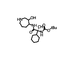 CC(C)(C)OC(=O)N[C@](C)(C(=O)NC1CCCNCC1O)C1CCCCC1